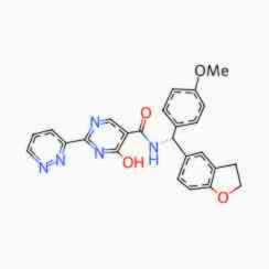 COc1ccc([C@@H](NC(=O)c2cnc(-c3cccnn3)nc2O)c2ccc3c(c2)CCO3)cc1